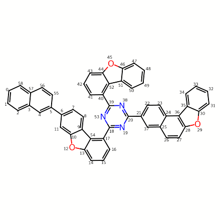 c1ccc2cc(-c3ccc4c(c3)oc3cccc(-c5nc(-c6ccc7c(ccc8oc9ccccc9c87)c6)nc(-c6cccc7oc8ccccc8c67)n5)c34)ccc2c1